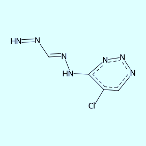 N=N/C=N/Nc1nnncc1Cl